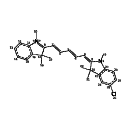 CN1/C(=C/C=C/C=C/C2=[N+](C)c3ccccc3C2(C)C)C(C)(C)c2cc(Cl)ccc21